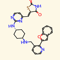 O=C1NC(=O)/C(=C/c2ccnc(N[C@H]3CC[C@H](NCc4cccnc4-c4cc5ccccc5o4)CC3)n2)S1